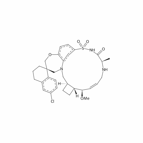 CO[C@@H]1C=CCN[C@H](C)C(=O)NS(=O)(=O)c2ccc3c(c2)N(C[C@@H]2CC[C@H]21)C[C@@]1(CCCc2cc(Cl)ccc21)CO3